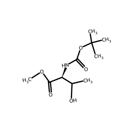 COC(=O)[C@@H](NC(=O)OC(C)(C)C)C(C)O